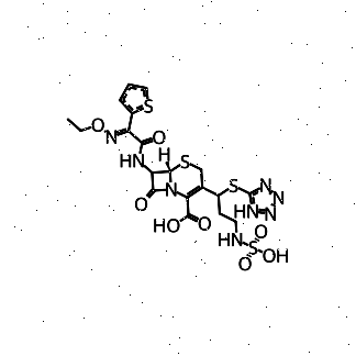 CCON=C(C(=O)NC1C(=O)N2C(C(=O)O)=C(C(CCNS(=O)(=O)O)Sc3nnn[nH]3)CS[C@@H]12)c1cccs1